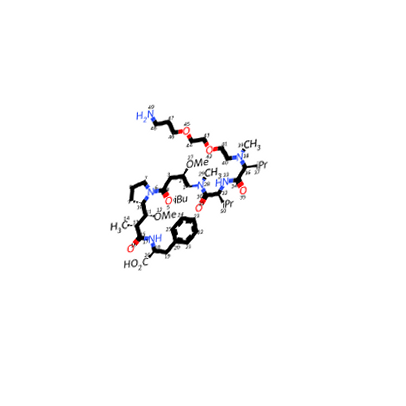 CC[C@H](C)[C@@H]([C@@H](CC(=O)N1CCC[C@H]1[C@H](OC)[C@@H](C)C(=O)N[C@@H](Cc1ccccc1)C(=O)O)OC)N(C)C(=O)[C@@H](NC(=O)[C@H](C(C)C)N(C)CCOCCOCCCN)C(C)C